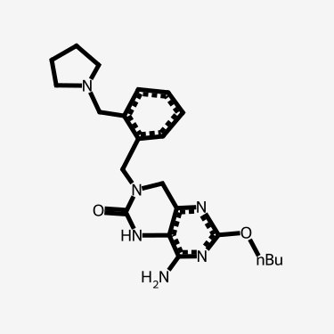 CCCCOc1nc(N)c2c(n1)CN(Cc1ccccc1CN1CCCC1)C(=O)N2